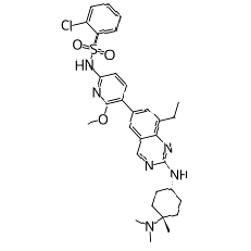 CCc1cc(-c2ccc(NS(=O)(=O)c3ccccc3Cl)nc2OC)cc2cnc(N[C@H]3CC[C@@](C)(N(C)C)CC3)nc12